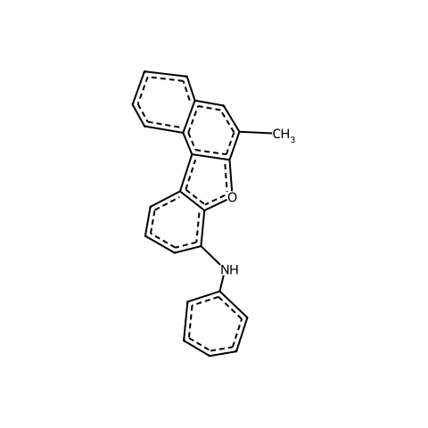 Cc1cc2ccccc2c2c1oc1c(Nc3ccccc3)cccc12